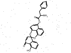 NC(Cc1ccccc1)C(=O)Oc1ccc2c3c(cccc13)OC1(C=CC(=O)c3c(O)cccc31)O2